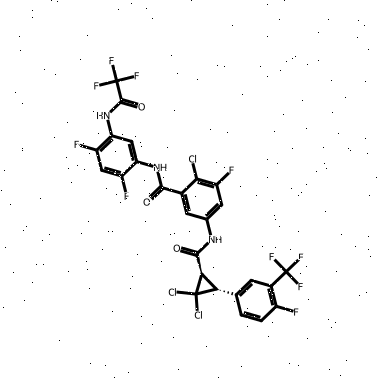 O=C(Nc1cc(NC(=O)C(F)(F)F)c(F)cc1F)c1cc(NC(=O)[C@H]2[C@H](c3ccc(F)c(C(F)(F)F)c3)C2(Cl)Cl)cc(F)c1Cl